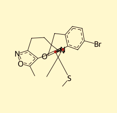 CSC1=NC2(C(=O)N1C)c1cc(Br)ccc1CC21CCc2noc(C)c2C1